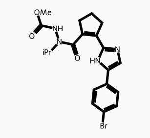 COC(=O)NN(C(=O)C1=C(c2ncc(-c3ccc(Br)cc3)[nH]2)CCC1)C(C)C